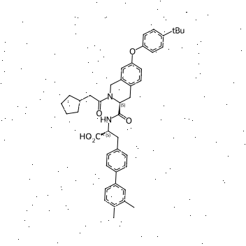 Cc1ccc(-c2ccc(C[C@H](NC(=O)[C@@H]3Cc4ccc(Oc5ccc(C(C)(C)C)cc5)cc4CN3C(=O)CC3CCCC3)C(=O)O)cc2)cc1C